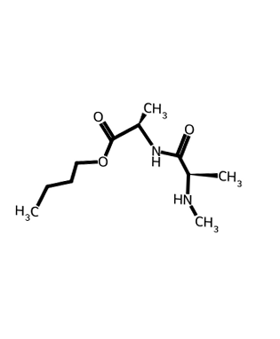 CCCCOC(=O)[C@@H](C)NC(=O)[C@@H](C)NC